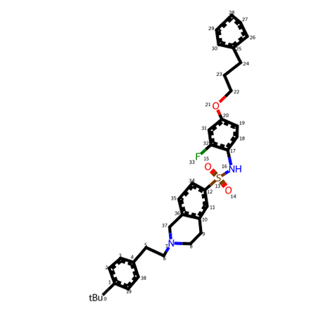 CC(C)(C)c1ccc(CCN2CCc3cc(S(=O)(=O)Nc4ccc(OCCCc5ccccc5)cc4F)ccc3C2)cc1